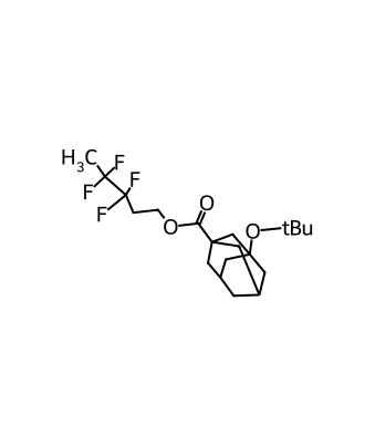 CC(C)(C)OC12CC3CC(C1)CC(C(=O)OCCC(F)(F)C(C)(F)F)(C3)C2